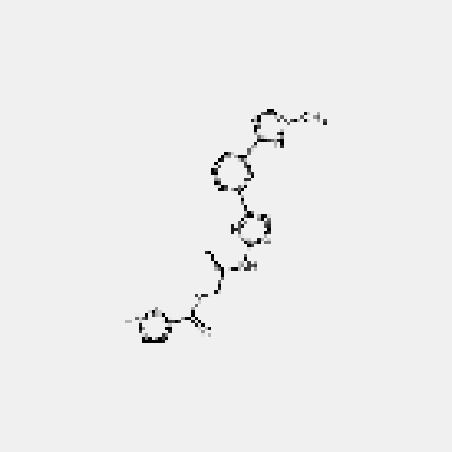 Cn1ccc(-c2cccc(-c3csc(NC(=O)CNC(=O)c4cc[nH]c4)n3)c2)n1